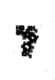 CN1CCN(c2cccc3c2cc(C(=O)O)n3C)CC1